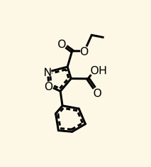 CCOC(=O)c1noc(-c2ccccc2)c1C(=O)O